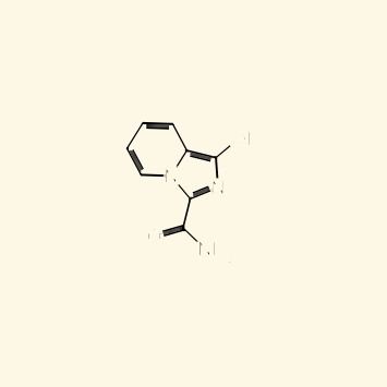 NC(=O)c1nc(O)c2ccccn12